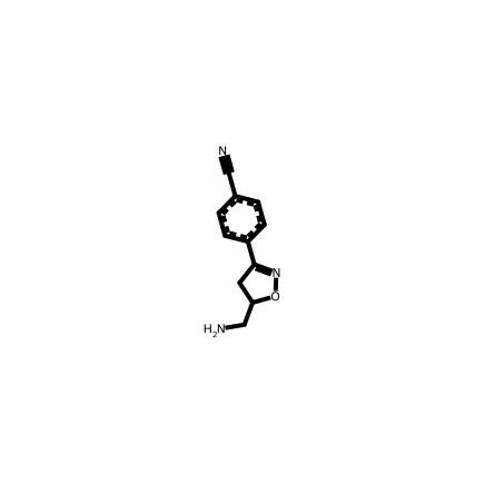 N#Cc1ccc(C2=NOC(CN)C2)cc1